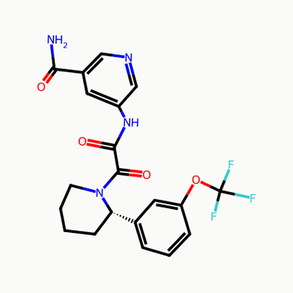 NC(=O)c1cncc(NC(=O)C(=O)N2CCCC[C@H]2c2cccc(OC(F)(F)F)c2)c1